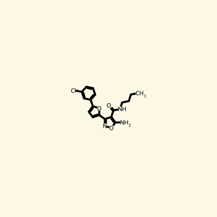 CCCCNC(=O)c1c(-c2ccc(-c3cccc(Cl)c3)o2)noc1N